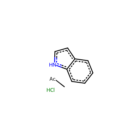 CC(C)=O.Cl.c1ccc2[nH]ccc2c1